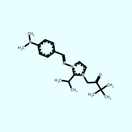 CC(C)c1n(CC(=O)C(C)(C)C)cc[n+]1N=Cc1ccc(N(C)C)cc1